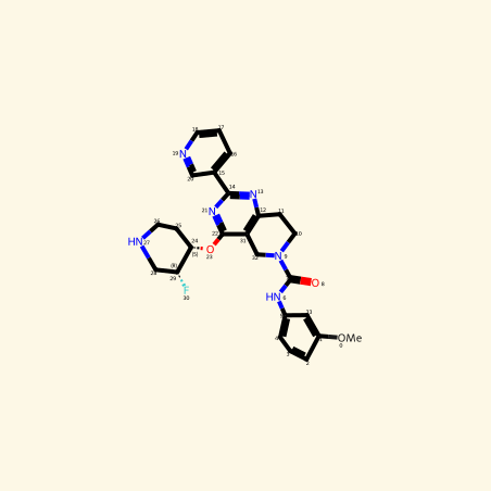 COc1cccc(NC(=O)N2CCc3nc(-c4cccnc4)nc(O[C@H]4CCNC[C@H]4F)c3C2)c1